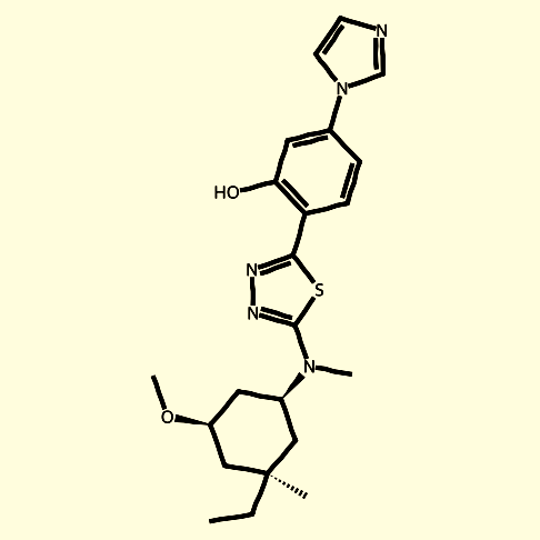 CC[C@@]1(C)C[C@@H](OC)C[C@@H](N(C)c2nnc(-c3ccc(-n4ccnc4)cc3O)s2)C1